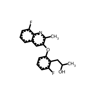 Cc1nc2c(F)cccc2cc1Oc1cccc(F)c1CC(C)O